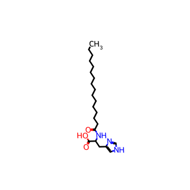 CCCCCCCCCCCCCCCC(=O)NC(Cc1c[nH]cn1)C(=O)O